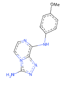 COc1ccc(Nc2nccn3c(N)nnc23)cc1